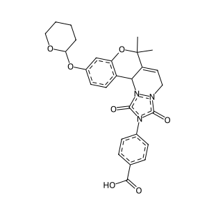 CC1(C)Oc2cc(OC3CCCCO3)ccc2C2C1=CCn1c(=O)n(-c3ccc(C(=O)O)cc3)c(=O)n12